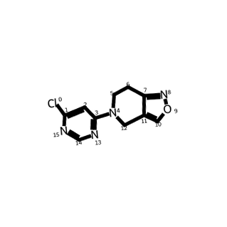 Clc1cc(N2CCc3nocc3C2)ncn1